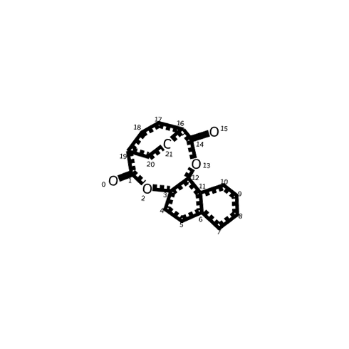 O=c1oc2ccc3ccccc3c2oc(=O)c2ccc1cc2